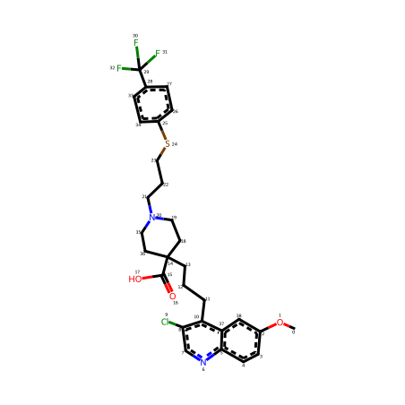 COc1ccc2ncc(Cl)c(CCCC3(C(=O)O)CCN(CCCSc4ccc(C(F)(F)F)cc4)CC3)c2c1